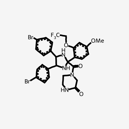 COc1ccc(C2(C(=O)N3CCNC(=O)C3)NC(c3ccc(Br)cc3)C(c3ccc(Br)cc3)N2)c(OCC(F)(F)F)c1